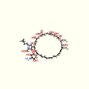 C[C@H]1C[C@H](O)[C@@H](C)/C=C/C=C/C=C/C=C/C=C/C=C/C=C/C(O[C@@H]2OC[C@@H](O)[C@H](N)[C@@H]2O)C[C@@H]([C@H](C(=O)NCCC2CC2)[C@@H](O)CCO)OCCC(O)CC(O)C(O)CCC(O)C[C@@H](O)CC(=O)O1